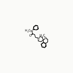 CN(C(=O)CCN1CCC2(CC1)c1ccccc1CCN2C)c1ccccc1